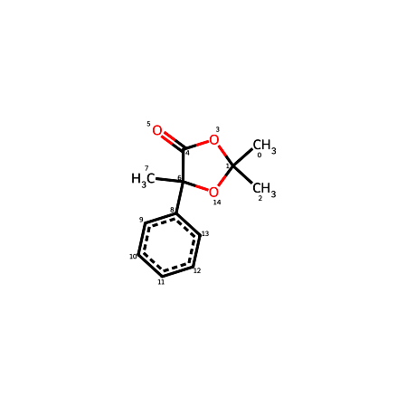 CC1(C)OC(=O)C(C)(c2ccccc2)O1